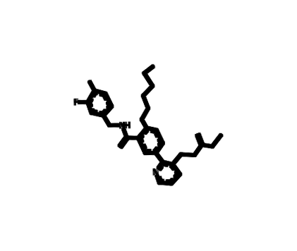 C=C(CC)CCc1cccnc1-c1ccc(CCCCCC)c(C(=C)NCc2ccc(C)c(F)c2)c1